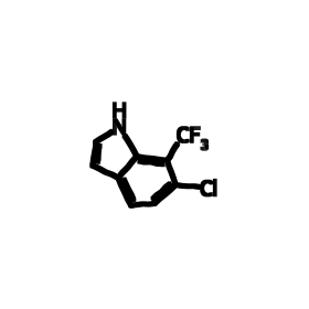 FC(F)(F)c1c(Cl)ccc2cc[nH]c12